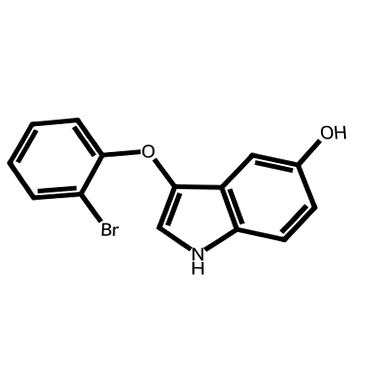 Oc1ccc2[nH]cc(Oc3ccccc3Br)c2c1